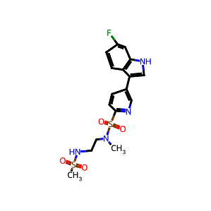 CN(CCNS(C)(=O)=O)S(=O)(=O)c1ccc(-c2c[nH]c3cc(F)ccc23)cn1